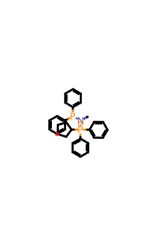 CN(P(c1ccccc1)c1ccccc1)[PH](c1ccccc1)(c1ccccc1)C1CCCC1